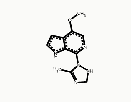 COc1cnc(N2NCN=C2C)c2[nH]ccc12